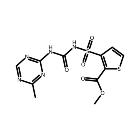 COC(=O)c1sccc1S(=O)(=O)NC(=O)Nc1ncnc(C)n1